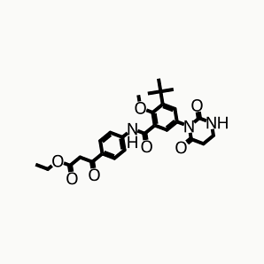 CCOC(=O)CC(=O)c1ccc(NC(=O)c2cc(N3C(=O)CCNC3=O)cc(C(C)(C)C)c2OC)cc1